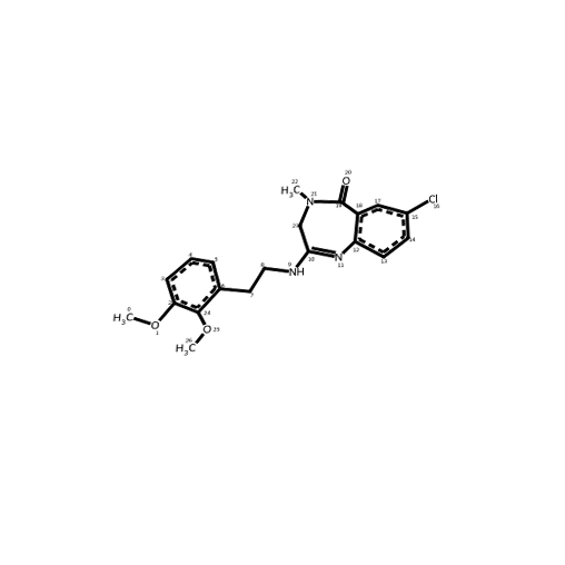 COc1cccc(CCNC2=Nc3ccc(Cl)cc3C(=O)N(C)C2)c1OC